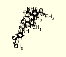 CCOC(=O)c1ccc(NC(=O)NN2CCN(CCN(C(N)=O)c3ccc(C(=O)OCC)cc3)C2c2cc(C)nc(C)n2)cc1